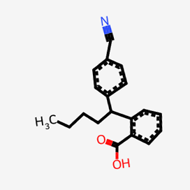 CCCCC(c1ccc(C#N)cc1)c1ccccc1C(=O)O